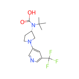 CC(C)(C)N(C(=O)O)[C@H]1CCN(c2cncc(C(F)(F)F)c2)C1